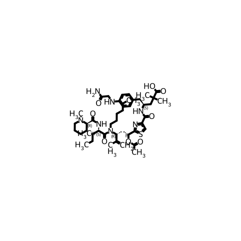 C=C(C)[C@@H](C[C@@H](OC(C)=O)c1nc(C(=O)N[C@@H](Cc2ccc(NCC(N)=O)cc2)CC(C)(C)C(=O)O)cs1)N(CCCCCC)C(=O)[C@@H](NC(=O)[C@H]1CCCCN1C)[C@@H](C)CC